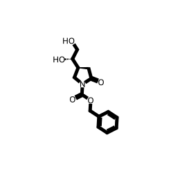 O=C1C[C@H]([C@H](O)CO)CN1C(=O)OCc1ccccc1